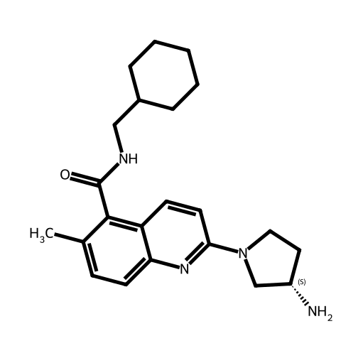 Cc1ccc2nc(N3CC[C@H](N)C3)ccc2c1C(=O)NCC1CCCCC1